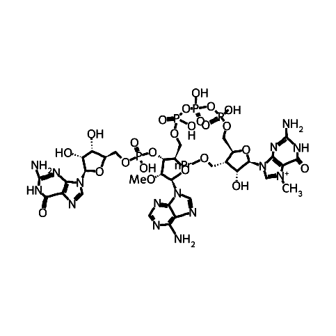 CCCOC[C@H]1[C@@H](O)[C@H](n2c[n+](C)c3c(=O)[nH]c(N)nc32)O[C@@H]1COP(=O)(O)OP(=O)(O)OP(=O)(O)OC[C@H]1O[C@@H](n2cnc3c(N)ncnc32)[C@H](OC)[C@@H]1OP(=O)(O)OC[C@H]1O[C@@H](n2cnc3c(=O)[nH]c(N)nc32)[C@H](O)[C@@H]1O